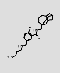 NCCCNCc1ccc(Cl)c(C(=O)NCC23CCCC4CC(CC4C2)C3)c1